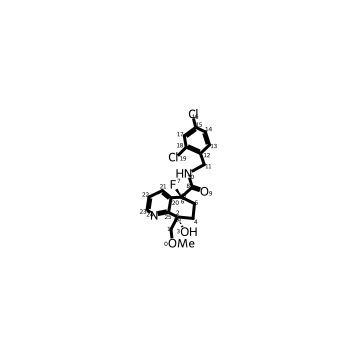 COC[C@]1(O)CC[C@@](F)(C(=O)NCc2ccc(Cl)cc2Cl)c2cccnc21